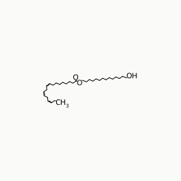 CC/C=C\C/C=C\C/C=C\CCCCCCCC(=O)OCCCCCCCCCCCCCCO